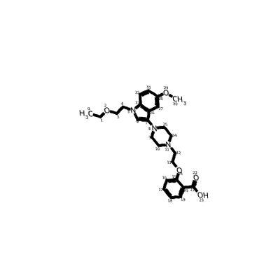 CCOCCn1cc(N2CCN(CCOc3ccccc3C(=O)O)CC2)c2cc(OC)ccc21